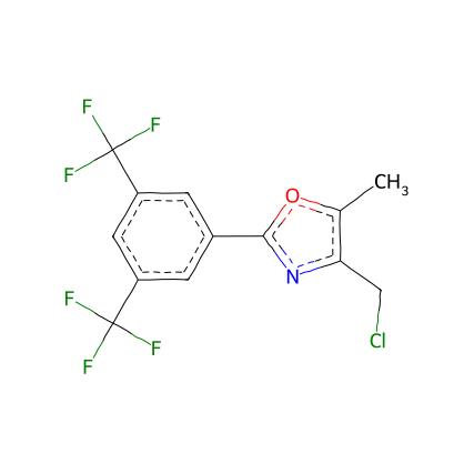 Cc1oc(-c2cc(C(F)(F)F)cc(C(F)(F)F)c2)nc1CCl